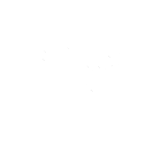 CC1C(=O)N(C)Cc2c(-c3cccc4nc(-c5cnn(C)c5)c(C(F)F)cc34)nc(C3CN(CC(F)F)C3)n21